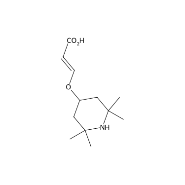 CC1(C)CC(OC=CC(=O)O)CC(C)(C)N1